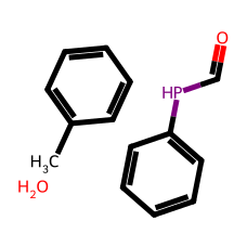 Cc1ccccc1.O.O=CPc1ccccc1